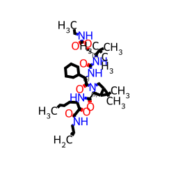 C=CCNC(=O)C(=O)C(CCCC)NC(=O)[C@@H]1C2C(CN1C(=O)[C@@H](NC(=O)N[C@H](COC(=O)NCC)C(C)(C)C)C1CCCCC1)C2(C)C